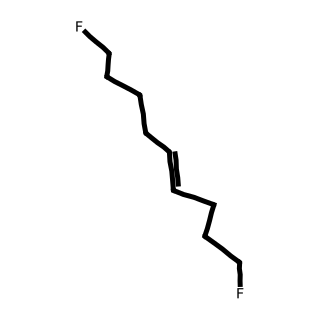 FCCCC=CCCCCF